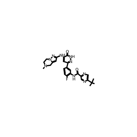 CN1CCn2nc(Nc3cc(-c4ccc(F)c(NC(=O)c5cnc(C(C)(C)C)cn5)c4)n[nH]c3=O)cc2C1